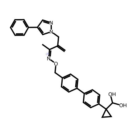 C=C(Cn1cc(-c2ccccc2)cn1)/C(C)=N\OCc1ccc(-c2ccc(C3(C(O)O)CC3)cc2)cc1